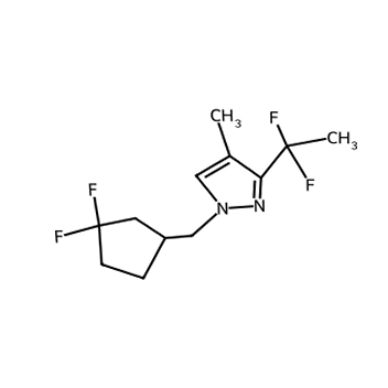 Cc1cn(CC2CCC(F)(F)C2)nc1C(C)(F)F